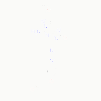 Cn1c(=O)n(CCN2CCN(c3ccc(OC4CC[S+]([O-])CC4)cc3F)CC2)c2nc(N)n3nc(-c4ccco4)cc3c21